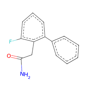 NC(=O)Cc1c(F)cccc1-c1ccccc1